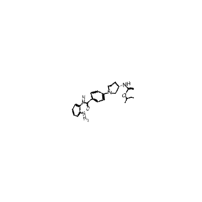 C=C(N[C@H]1CCN(c2ccc(C(=O)Nc3ccccc3N)cc2)C1)OC(C)C